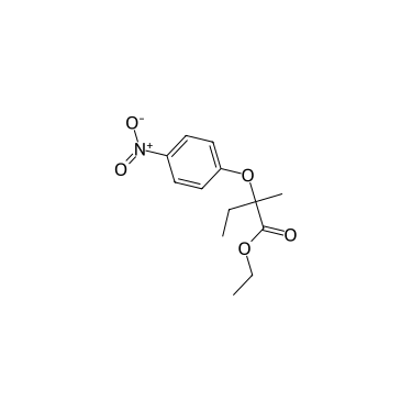 CCOC(=O)C(C)(CC)Oc1ccc([N+](=O)[O-])cc1